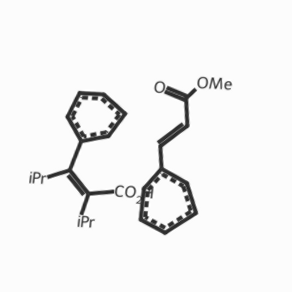 CC(C)C(C(=O)O)=C(c1ccccc1)C(C)C.COC(=O)C=Cc1ccccc1